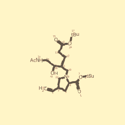 C=CC1CC(C(=O)OC(C)(C)C)N(CC(CCC(=O)OC(C)(C)C)C(O)CNC(C)=O)C1